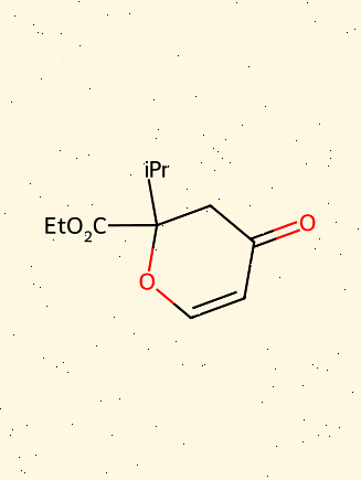 CCOC(=O)C1(C(C)C)CC(=O)C=CO1